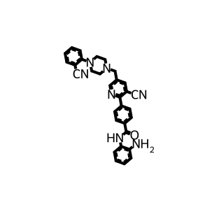 N#Cc1ccccc1N1CCN(Cc2cnc(-c3ccc(C(=O)Nc4ccccc4N)cc3)c(C#N)c2)CC1